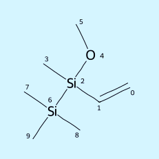 C=C[Si](C)(OC)[Si](C)(C)C